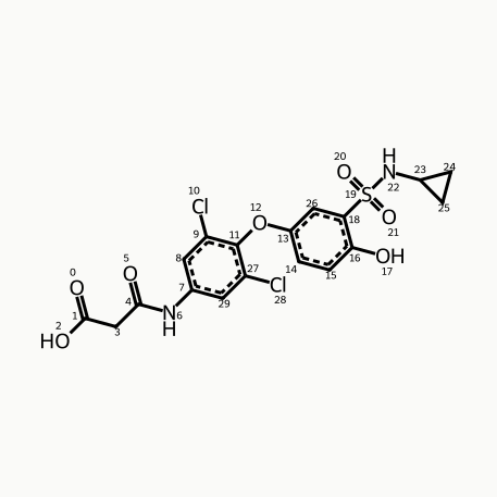 O=C(O)CC(=O)Nc1cc(Cl)c(Oc2ccc(O)c(S(=O)(=O)NC3CC3)c2)c(Cl)c1